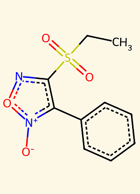 CCS(=O)(=O)c1no[n+]([O-])c1-c1ccccc1